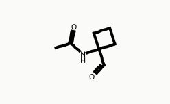 CC(=O)NC1(C=O)CCC1